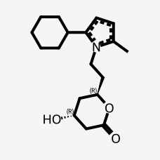 Cc1ccc(C2CCCCC2)n1CC[C@@H]1C[C@@H](O)CC(=O)O1